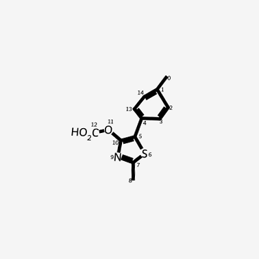 Cc1ccc(-c2sc(C)nc2OC(=O)O)cc1